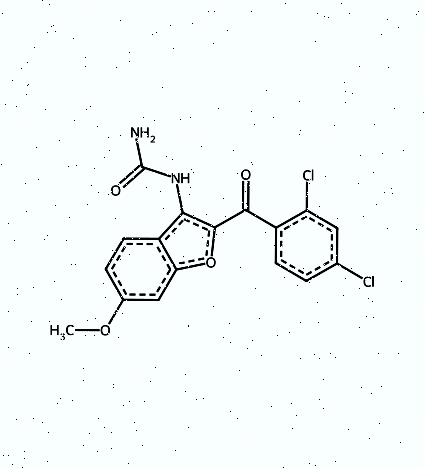 COc1ccc2c(NC(N)=O)c(C(=O)c3ccc(Cl)cc3Cl)oc2c1